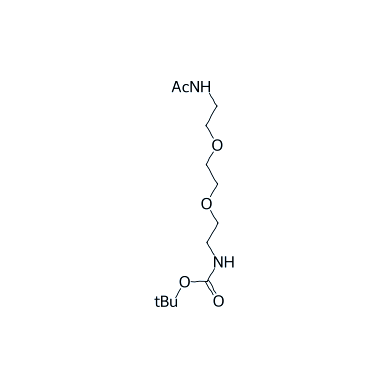 CC(=O)NCCOCCOCCNC(=O)OC(C)(C)C